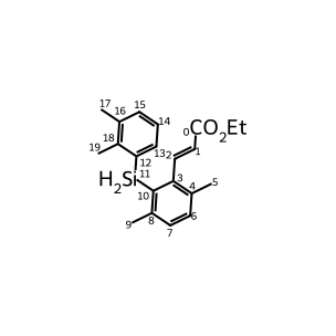 CCOC(=O)C=Cc1c(C)ccc(C)c1[SiH2]c1cccc(C)c1C